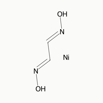 ON=CC=NO.[Ni]